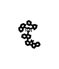 CC1(C)c2c(cccc2-c2ccc(-c3nc(-c4ccccc4-c4ccccc4)cc(-c4cccc5ccccc45)n3)c3ccccc23)-c2ccc3ccccc3c21